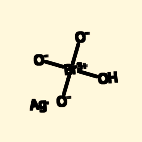 [Ag].[O-][Br+3]([O-])([O-])O